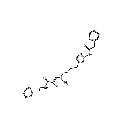 N/C(=C\N(N)CCCCc1nnc(NC(=O)Cc2ccccc2)s1)C(=O)NCCc1ccccc1